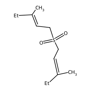 CCC(C)=CCS(=O)(=O)CC=C(C)CC